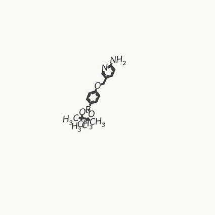 CC1(C)OB(c2ccc(OCc3ccc(N)nc3)cc2)OC1(C)C